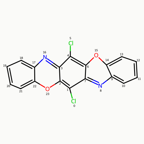 Clc1c2c(c(Cl)c3c1=Nc1ccccc1O3)=Nc1ccccc1O2